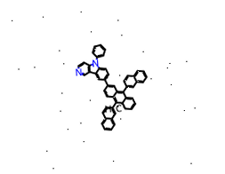 CC12CC=CC=C1C(c1ccc3ccccc3c1)=c1cc(-c3ccc4c(c3)c3cnccc3n4-c3ccccc3)ccc1=C2c1ccc2ccccc2c1